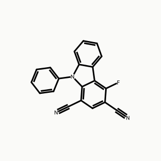 N#Cc1cc(C#N)c2c(c1F)c1ccccc1n2-c1ccccc1